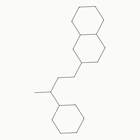 CC(CCC1CCC2CCCCC2C1)C1CCCCC1